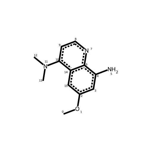 COc1cc(N)c2nccc(N(C)C)c2c1